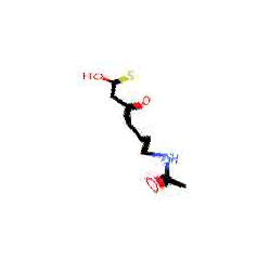 CC(=O)NCCCC(=O)CC(O)=S